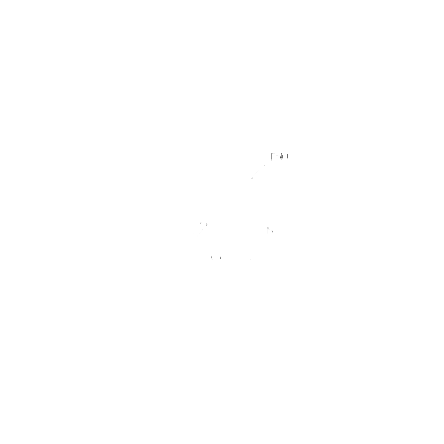 CCOC(N)=S.NC(=S)Oc1ccccc1